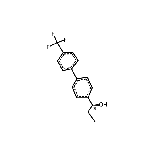 CC[C@H](O)c1ccc(-c2ccc(C(F)(F)F)cc2)cc1